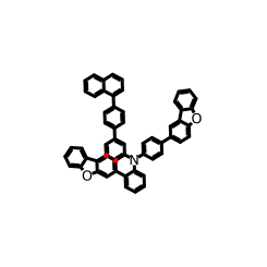 c1cc(-c2ccc(-c3cccc4ccccc34)cc2)cc(N(c2ccc(-c3ccc4oc5ccccc5c4c3)cc2)c2ccccc2-c2ccc3c(c2)oc2ccccc23)c1